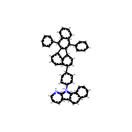 c1ccc(-c2c3c(c(-c4ccccc4)c4ccccc24)-c2ccc(-c4ccc(-n5c6ncccc6c6ccc7ccccc7c65)cc4)c4cccc-3c24)cc1